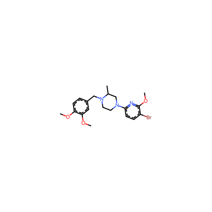 COc1ccc(CN2CCN(c3ccc(Br)c(OC)n3)CC2C)cc1OC